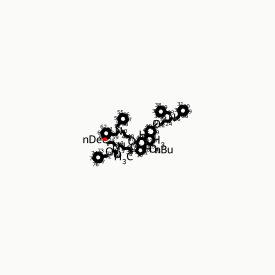 CCCCCCCCCCCCN(CCCC(C)[C@H]1CC[C@H]2C3[C@H](OCCCC)CC4C[C@H](OCCCN(Cc5ccccc5)Cc5ccccc5)CC[C@]4(C)[C@H]3C[C@H](OCCCN(Cc3ccccc3)Cc3ccccc3)[C@]12C)C(=O)OCc1ccccc1